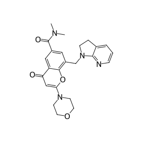 CN(C)C(=O)c1cc(CN2CCc3cccnc32)c2oc(N3CCOCC3)cc(=O)c2c1